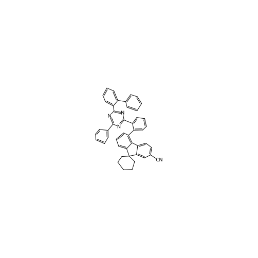 N#Cc1ccc2c(c1)C1(CCCCC1)c1cccc(-c3ccccc3-c3nc(-c4ccccc4)nc(-c4ccccc4-c4ccccc4)n3)c1-2